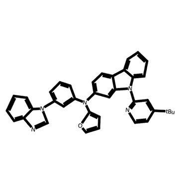 CC(C)(C)c1ccnc(-n2c3ccccc3c3ccc(N(c4cccc(-n5cnc6ccccc65)c4)c4ccco4)cc32)c1